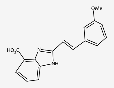 COc1cccc(/C=C/c2nc3c(C(=O)O)cccc3[nH]2)c1